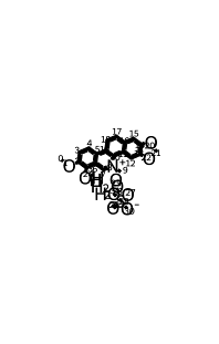 COc1ccc2c(c[n+](C)c3c4cc5c(cc4ccc23)OCO5)c1O.O.O.O=S(=O)([O-])O